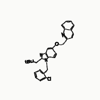 CC(C)(C)Cc1nc2cc(OCc3ccc4ccccc4n3)ccc2n1Cc1ccccc1Cl